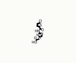 O=C(O)Cn1cnc(NC(=O)c2ccc(Cl)s2)n1